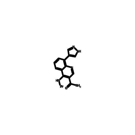 CC(C)Nc1c(C(N)=O)cnc2c(-c3cn[nH]c3)cccc12